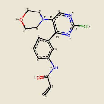 C=CC(=O)Nc1cccc(-c2nc(Cl)ncc2N2CCOCC2)c1